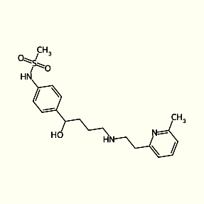 Cc1cccc(CCNCCCC(O)c2ccc(NS(C)(=O)=O)cc2)n1